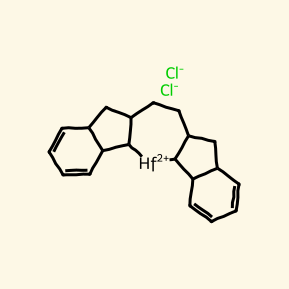 C1=CC2CC3CCC4CC5C=CC=CC5[CH]4[Hf+2][CH]3C2C=C1.[Cl-].[Cl-]